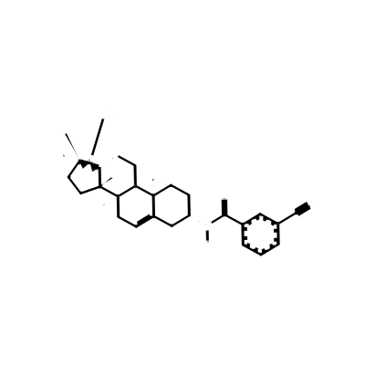 C[C@H]1[C@H]2CC[C@H]3[C@@H]4CC=C5C[C@@H](N(C)C(=O)c6cccc(C#N)c6)CC[C@]5(C)C4CC[C@]23CN1C